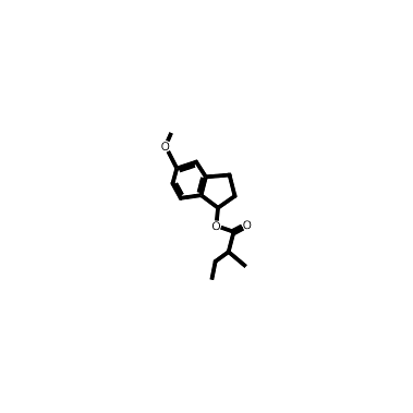 CCC(C)C(=O)OC1CCc2cc(OC)ccc21